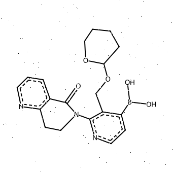 O=C1c2cccnc2CCN1c1nccc(B(O)O)c1COC1CCCCO1